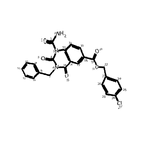 NC(=O)n1c(=O)n(Cc2ccccc2)c(=O)c2cc(C(=O)OCc3ccc(Cl)cc3)ccc21